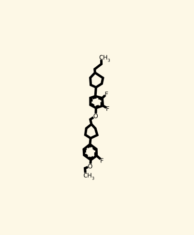 CCCC1CCC(c2ccc(OCC3CCC(c4ccc(OCC)c(F)c4)CC3)c(F)c2F)CC1